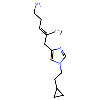 NCC/C=C(/Cc1cn(CCC2CC2)cn1)C(=O)O